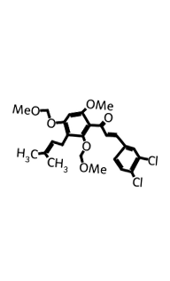 COCOc1cc(OC)c(C(=O)C=Cc2ccc(Cl)c(Cl)c2)c(OCOC)c1CC=C(C)C